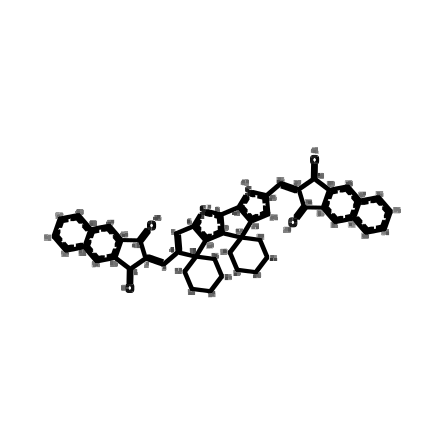 O=C1C(=CC2=Cc3sc4c(c3C23CCCCC3)C2(CCCCC2)c2cc(C=C3C(=O)c5cc6ccccc6cc5C3=O)sc2-4)C(=O)c2cc3ccccc3cc21